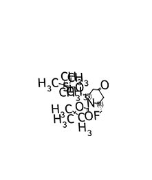 CC(C)(C)OC(=O)N1[C@H](CO[Si](C)(C)C(C)(C)C)CC(=O)C[C@@H]1CF